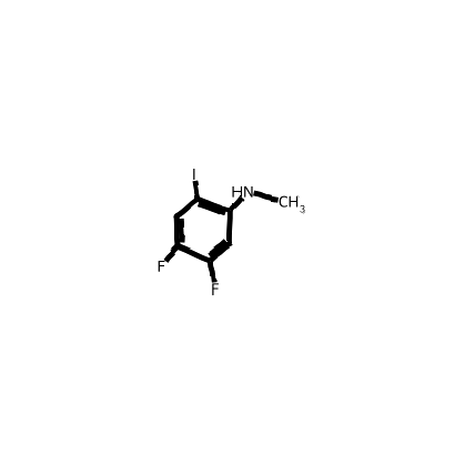 CNc1cc(F)c(F)cc1I